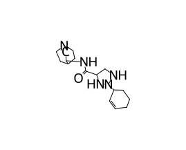 O=C(NC1CN2CCC1CC2)C1CNN(C2C=CCCC2)N1